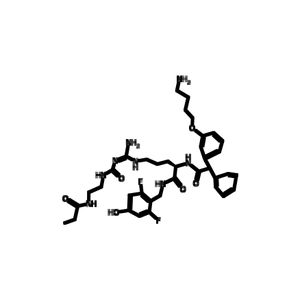 CCC(=O)NCCNC(=O)/N=C(/N)NCCC[C@@H](NC(=O)C(c1ccccc1)c1cccc(OCCCCN)c1)C(=O)NCc1c(F)cc(O)cc1F